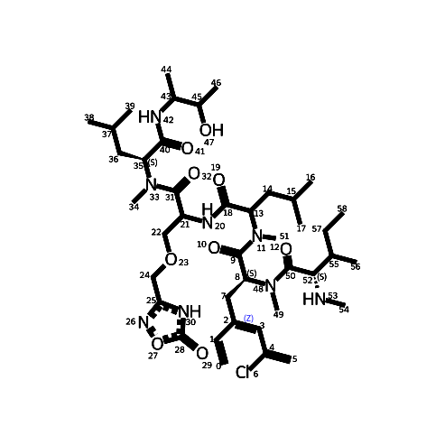 C=C/C(=C\C(=C)Cl)C[C@@H](C(=O)N(C)C(CC(C)C)C(=O)NC(COCc1noc(=O)[nH]1)C(=O)N(C)[C@@H](CC(C)C)C(=O)NC(C)C(C)O)N(C)C(=O)[C@@H](NC)C(C)CC